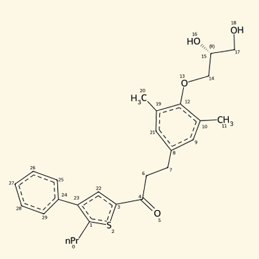 CCCc1sc(C(=O)CCc2cc(C)c(OC[C@H](O)CO)c(C)c2)cc1-c1ccccc1